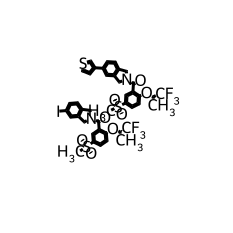 CC(Oc1ccc(S(C)(=O)=O)cc1C(=O)N1Cc2ccc(-c3ccsc3)cc2C1)C(F)(F)F.C[C@H](Oc1ccc(S(C)(=O)=O)cc1C(=O)N1Cc2ccc(I)cc2C1)C(F)(F)F